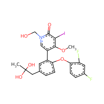 COc1c(-c2cc(CC(C)(O)O)ccc2Oc2ccc(F)cc2F)cn(CO)c(=O)c1I